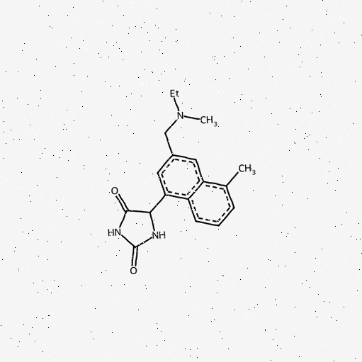 CCN(C)Cc1cc(C2NC(=O)NC2=O)c2cccc(C)c2c1